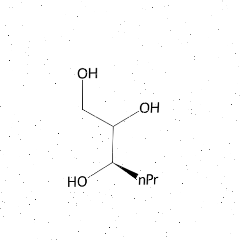 CCC[C@@H](O)C(O)CO